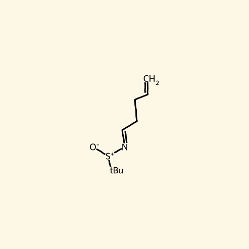 C=CCCC=N[S+]([O-])C(C)(C)C